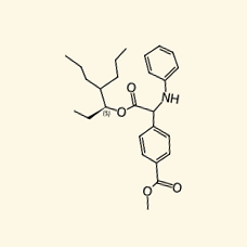 CCCC(CCC)[C@H](CC)OC(=O)C(Nc1ccccc1)c1ccc(C(=O)OC)cc1